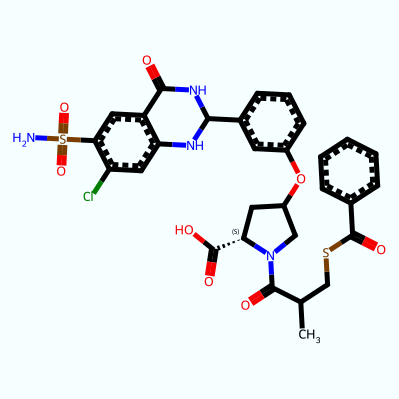 CC(CSC(=O)c1ccccc1)C(=O)N1CC(Oc2cccc(C3NC(=O)c4cc(S(N)(=O)=O)c(Cl)cc4N3)c2)C[C@H]1C(=O)O